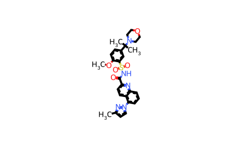 COc1ccc(C(C)(C)N2CCOCC2)cc1S(=O)(=O)NC(=O)c1ccc2c(-n3ccc(C)n3)cccc2n1